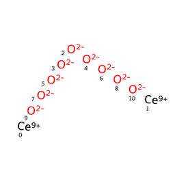 [Ce+9].[Ce+9].[O-2].[O-2].[O-2].[O-2].[O-2].[O-2].[O-2].[O-2].[O-2]